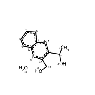 CC(O)c1nc2ccccc2nc1CO.O